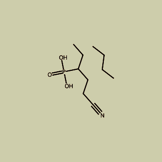 CCC(CCC#N)P(=O)(O)O.CCCC